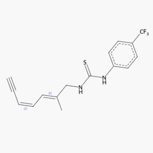 C#C/C=C\C=C(/C)CNC(=S)Nc1ccc(C(F)(F)F)cc1